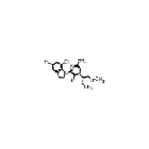 Bc1cn([C@@H](CC)COC)c(=O)c(N2CCc3cc(Cl)cc(Cl)c32)n1